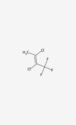 CC(Cl)=C(Cl)C(F)(F)F